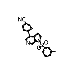 Cc1cccc(S(=O)(=O)n2ccc3c(-c4ccc(C#N)cc4)cncc32)c1